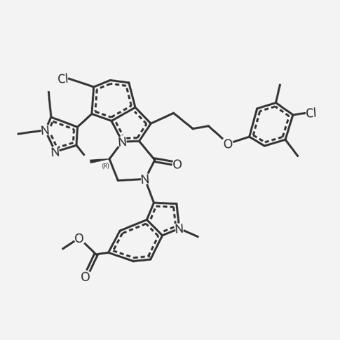 COC(=O)c1ccc2c(c1)c(N1C[C@@H](C)n3c(c(CCCOc4cc(C)c(Cl)c(C)c4)c4ccc(Cl)c(-c5c(C)nn(C)c5C)c43)C1=O)cn2C